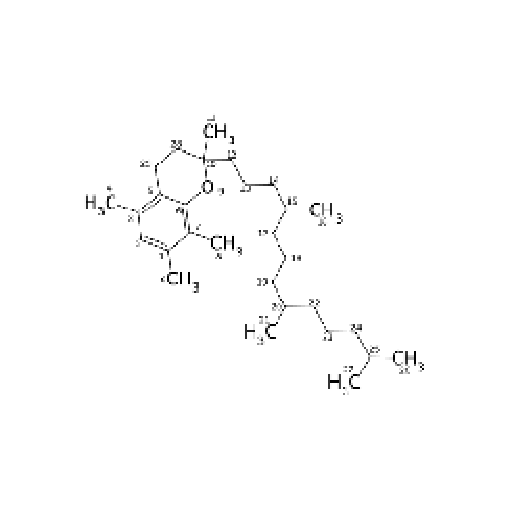 Cc1cc(C)c2c(c1C)OC(C)(CCCC(C)CCCC(C)CCCC(C)C)CC2